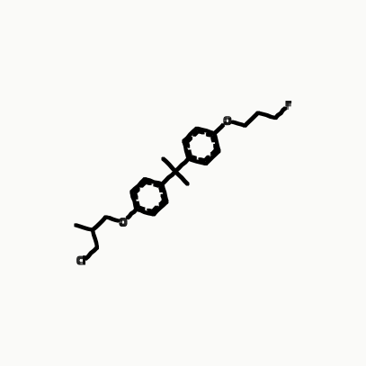 CC(CCl)COc1ccc(C(C)(C)c2ccc(OCCCF)cc2)cc1